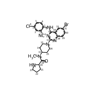 [C-]#[N+]c1cc(Cl)ccc1Nc1nc(N2CCC(N(C)C(=O)C3CCCN3)CC2)nc2ccc(Br)cc12